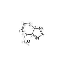 O.c1cc2ncnc-2[nH]n1